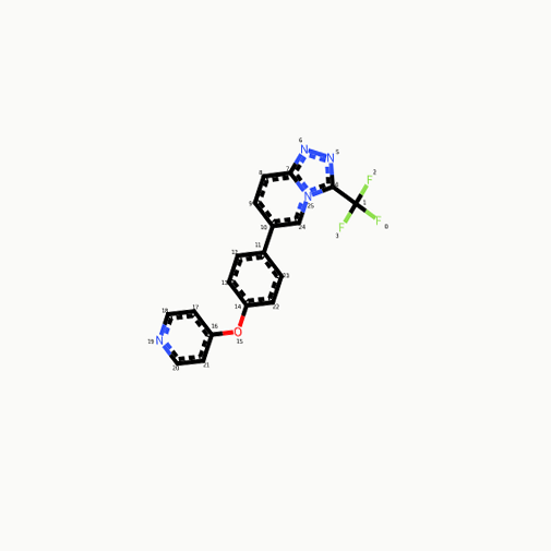 FC(F)(F)c1nnc2ccc(-c3ccc(Oc4ccncc4)cc3)cn12